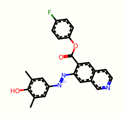 Cc1cc(/N=N/c2cc3cnccc3cc2C(=O)Oc2ccc(F)cc2)cc(C)c1O